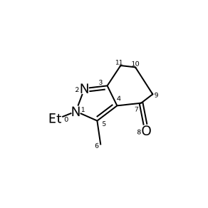 CCn1nc2c(c1C)C(=O)CCC2